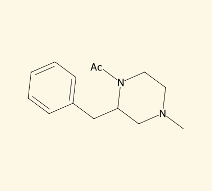 CC(=O)N1CCN(C)CC1Cc1ccccc1